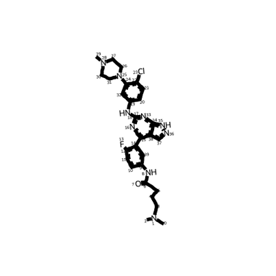 CN(C)CCCC(=O)Nc1ccc(F)c(-c2nc(Nc3ccc(Cl)c(N4CCN(C)CC4)c3)nc3[nH]ncc23)c1